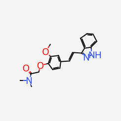 COc1cc(C=Cc2n[nH]c3ccccc23)ccc1OCC(=O)N(C)C